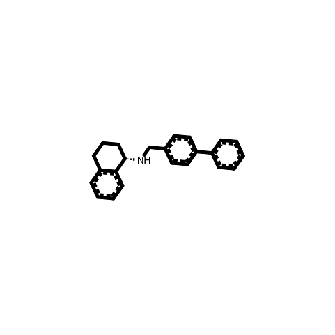 c1ccc(-c2ccc(CN[C@H]3CCCc4ccccc43)cc2)cc1